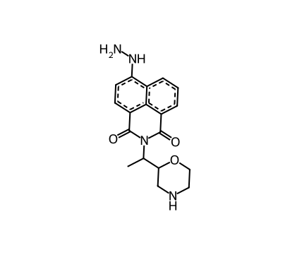 CC(C1CNCCO1)N1C(=O)c2cccc3c(NN)ccc(c23)C1=O